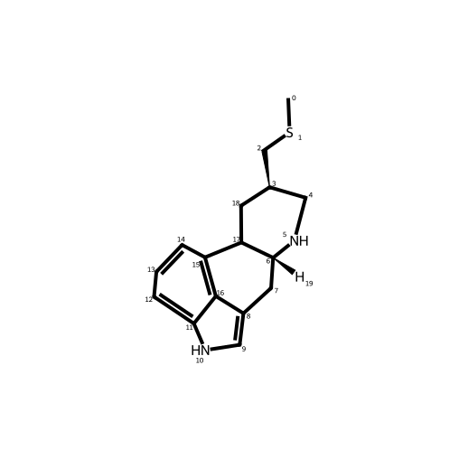 CSC[C@H]1CN[C@@H]2Cc3c[nH]c4cccc(c34)C2C1